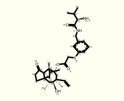 C=C[C@]1(C)C[C@@H](OC(=O)CSc2cccc(CNC(=O)[C@H](N)C(C)C)c2)[C@]2(C)C(C)CCC3(CCC(=O)C32)[C@@H](C)[C@@H]1O